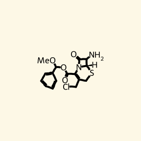 COC(OC(=O)C1=C(CCl)CS[C@H]2C(N)C(=O)N12)c1ccccc1